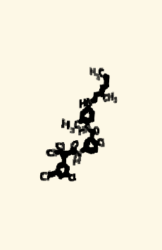 C/C=C\C=C(/C)CCNc1ccc(NC(=O)c2cc(NC(=O)C3C(c4cc(Cl)cc(Cl)c4)C3(Cl)Cl)ccc2Cl)c(C)c1